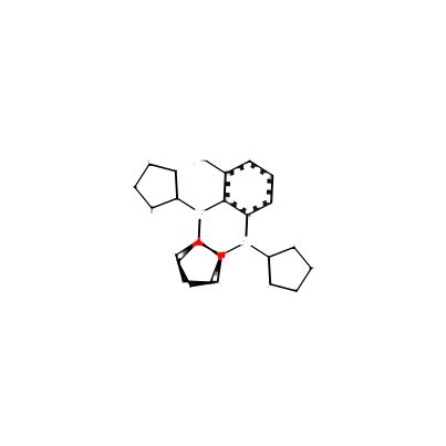 [SiH3]c1cccc(N(C2CCCC2)C2CCCC2)c1N(C1CCCC1)C1CCCC1